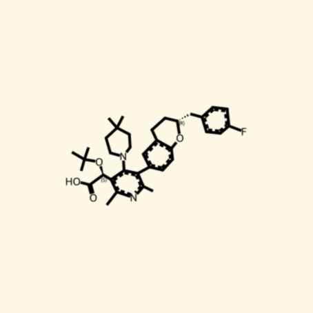 Cc1nc(C)c([C@H](OC(C)(C)C)C(=O)O)c(N2CCC(C)(C)CC2)c1-c1ccc2c(c1)CC[C@H](Cc1ccc(F)cc1)O2